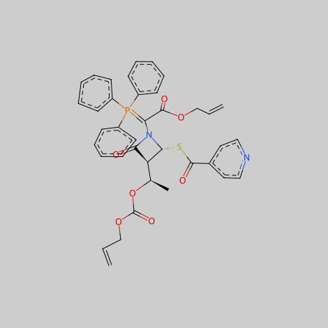 C=CCOC(=O)O[C@H](C)[C@H]1C(=O)N(C(C(=O)OCC=C)=P(c2ccccc2)(c2ccccc2)c2ccccc2)[C@@H]1SC(=O)c1ccncc1